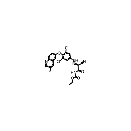 CCOC(=O)NC(=O)/C(C#N)=N/Nc1cc(Cl)c(Oc2ccc3ncc(C)cc3c2)c(Cl)c1